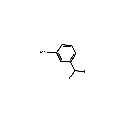 CNc1cccc(C(F)I)c1